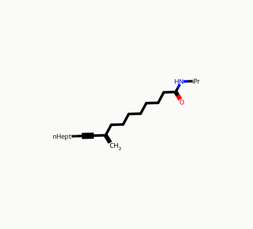 C=C(C#CCCCCCCC)CCCCCCCC(=O)NC(C)C